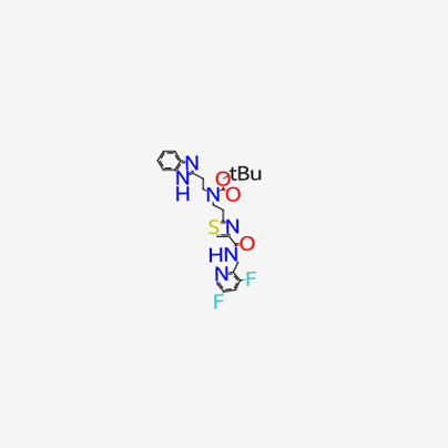 CC(C)(C)OC(=O)N(CCc1nc2ccccc2[nH]1)CCc1nc(C(=O)NCc2ncc(F)cc2F)cs1